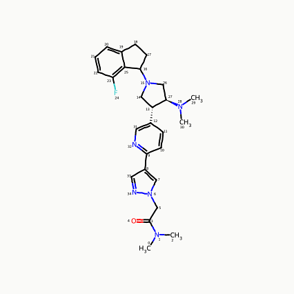 CN(C)C(=O)Cn1cc(-c2ccc([C@@H]3CN(C4CCc5cccc(F)c54)C[C@H]3N(C)C)cn2)cn1